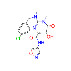 CN(Cc1ccc(Cl)cc1)c1nc(C(=O)Nc2cnoc2)c(O)c(=O)n1C